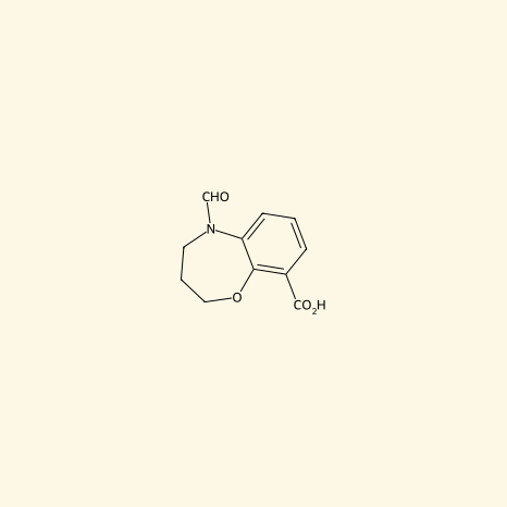 O=CN1CCCOc2c(C(=O)O)cccc21